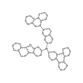 c1ccc2c(c1)cc(-c1ccc3ccc(N(c4ccc5c(c4)oc4c6ccccc6ccc54)c4ccc5c6ccccc6c6ccccc6c5c4)cc3c1)c1ccccc12